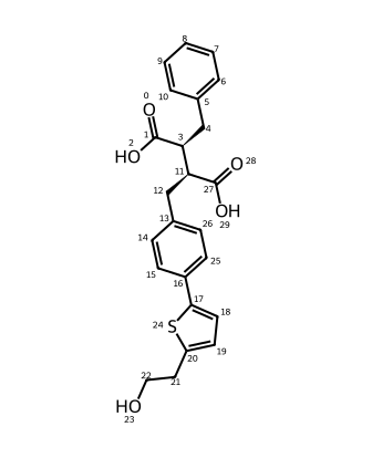 O=C(O)[C@@H](Cc1ccccc1)[C@H](Cc1ccc(-c2ccc(CCO)s2)cc1)C(=O)O